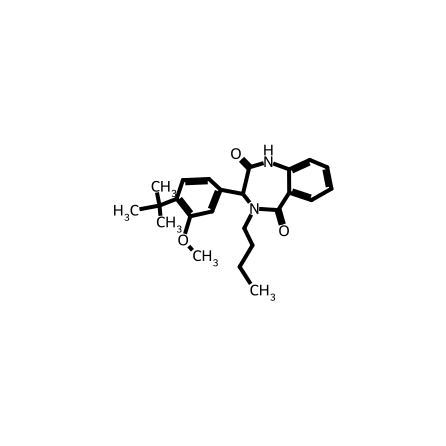 CCCCN1C(=O)c2ccccc2NC(=O)C1c1ccc(C(C)(C)C)c(OC)c1